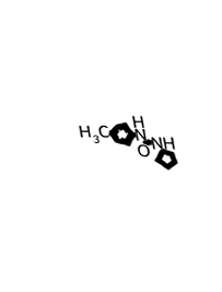 Cc1ccc(NC(=O)NC2CCCC2)cc1